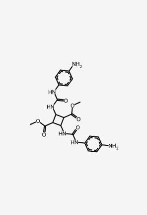 COC(=O)C1C(NC(=O)Nc2ccc(N)cc2)C(C(=O)OC)C1NC(=O)Nc1ccc(N)cc1